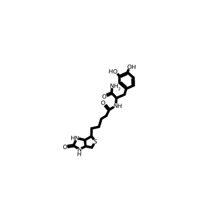 NC(=O)C(Cc1ccc(O)c(O)c1)NC(=O)CCCCC1SCC2NC(=O)NC21